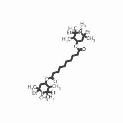 CCC1(C)CC(OC(=O)CCCCCCCCC(=O)OC2CC(C)(CC)N(C)C(C)(CC)C2C)C(C)C(C)(CC)N1C